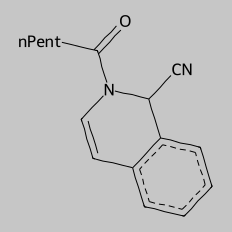 CCCCCC(=O)N1C=Cc2ccccc2C1C#N